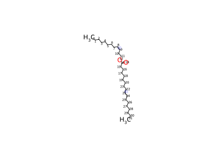 CCCCCCCC/C=C\CCOC(=O)CCCCCCC/C=C/CCCCCCCC